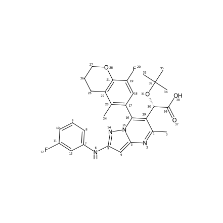 Cc1nc2cc(Nc3cccc(F)c3)nn2c(-c2cc(F)c3c(c2C)CCCO3)c1[C@H](OC(C)(C)C)C(=O)O